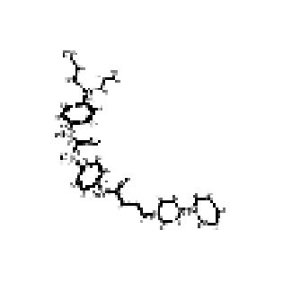 O=C(CCCN1CCC(N2CCCCC2)CC1)Nc1ccc(NC(=O)Nc2ccc(N(CCCl)CCCl)cc2)cc1